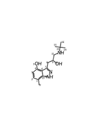 Cc1ccc(O)c2c(CC(O)CNC(C)(C)C)n[nH]c12